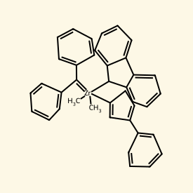 [CH3][Zr]([CH3])([C]1=CC(c2ccccc2)=CC1)(=[C](c1ccccc1)c1ccccc1)[CH]1c2ccccc2-c2ccccc21